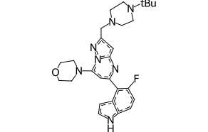 CC(C)(C)N1CCN(Cc2cc3nc(-c4c(F)ccc5[nH]ccc45)cc(N4CCOCC4)n3n2)CC1